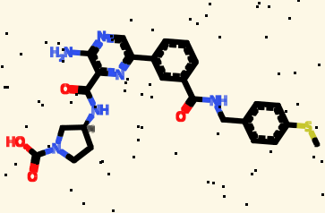 CSc1ccc(CNC(=O)c2cccc(-c3cnc(N)c(C(=O)N[C@H]4CCN(C(=O)O)C4)n3)c2)cc1